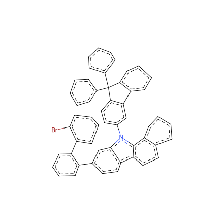 Brc1ccccc1-c1ccccc1-c1ccc2c3ccc4ccccc4c3n(-c3ccc4c(c3)-c3ccccc3C4(c3ccccc3)c3ccccc3)c2c1